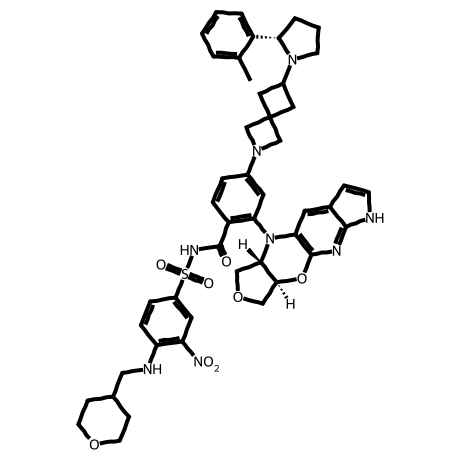 Cc1ccccc1[C@@H]1CCCN1C1CC2(C1)CN(c1ccc(C(=O)NS(=O)(=O)c3ccc(NCC4CCOCC4)c([N+](=O)[O-])c3)c(N3c4cc5cc[nH]c5nc4O[C@H]4COC[C@@H]43)c1)C2